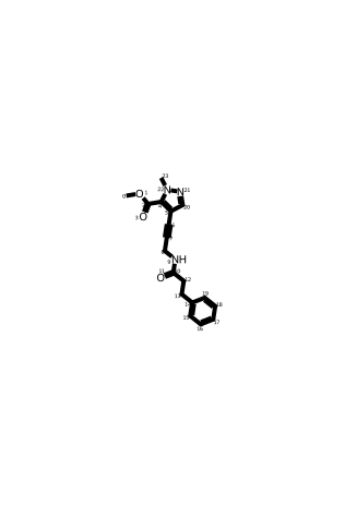 COC(=O)c1c(C#CCNC(=O)CCc2ccccc2)cnn1C